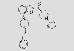 O=C(c1cc2cccc(N3CCN(CCc4ccccn4)CC3)c2o1)N1CCN(c2nccs2)CC1